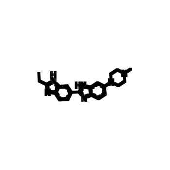 CCc1nc2ccc(-c3nc4ccc(N5CCN(C)CC5)cc4[nH]3)cc2[nH]1